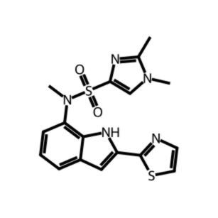 Cc1nc(S(=O)(=O)N(C)c2cccc3cc(-c4nccs4)[nH]c23)cn1C